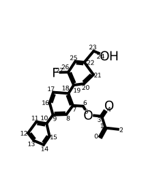 C=C(C)C(=O)OCc1cc(-c2ccccc2)ccc1-c1ccc(CO)cc1F